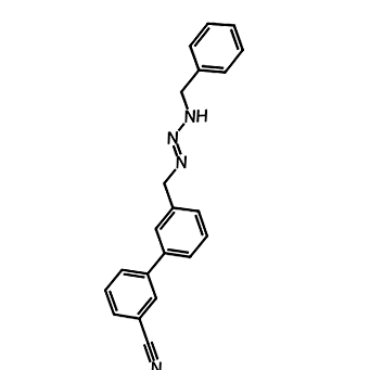 N#Cc1cccc(-c2cccc(CN=NNCc3ccccc3)c2)c1